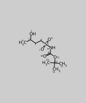 CC(O)CCS(=O)(=O)NC(=O)OC(C)(C)C